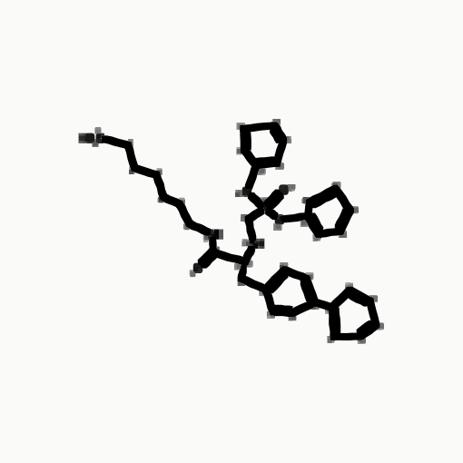 O=C(O)CCCCCCNC(=O)[C@H](Cc1ccc(-c2ccccc2)cc1)NCP(=O)(Oc1ccccc1)Oc1ccccc1